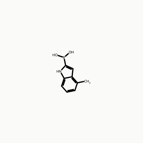 Cc1cccc2[nH]c(B(O)O)cc12